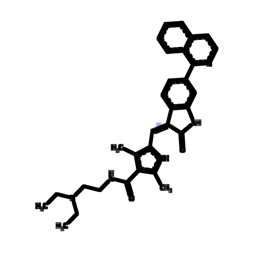 CCN(CC)CCNC(=O)c1c(C)[nH]c(/C=C2\C(=O)Nc3cc(-c4nccc5ccccc45)ccc32)c1C